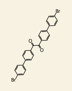 O=C(C(=O)c1ccc(-c2ccc(Br)cc2)cc1)c1ccc(-c2ccc(Br)cc2)cc1